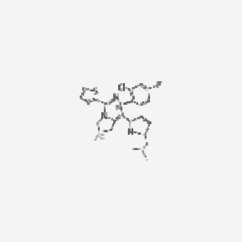 CC(F)CC1C=CC(C2=C3C[C@H](C)CN3C(c3nccs3)=N[C@H]2c2ccc(F)cc2Cl)=N1